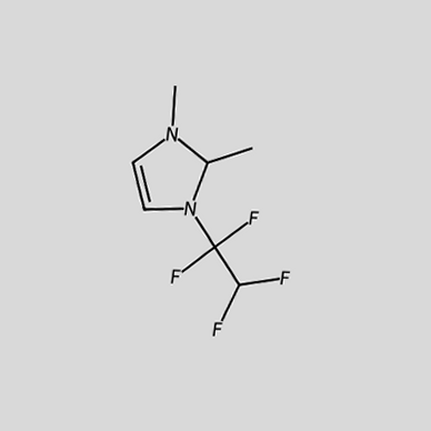 CC1N(C)C=CN1C(F)(F)C(F)F